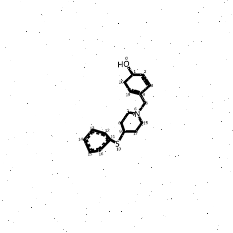 OC1C=CC(CN2CCC(Sc3ccccc3)CC2)=CC1